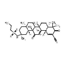 CCCS(=O)(=O)N[C@@]1(C)CC[C@@]2(C)CC[C@@]3(C)[C@]4(C)CC[C@H]5C(C)(C)C(=O)C(C#N)=C[C@]5(C)C4=CC(=O)[C@]3(O)[C@@H]2C1